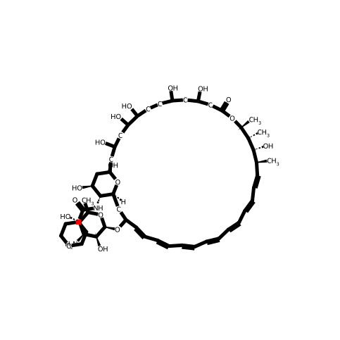 CC1O[C@@H](OC2/C=C/C=C/C=C/C=C/C=C/C=C/C=C/[C@H](C)[C@@H](O)[C@@H](C)[C@H](C)OC(=O)CC(O)CC(O)CCC(O)C(O)CC(O)CC3(O)C[C@H](O)[C@@H](NC(=O)N4CCOCC4)[C@H](C2)O3)[C@@H](O)[C@@H](N)[C@@H]1O